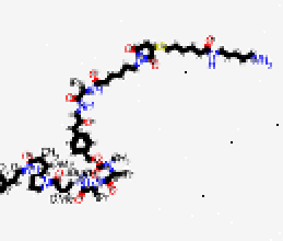 CC[C@H](C)[C@@H]([C@@H](CC(=O)N1CCC[C@H]1[C@H](OC)[C@@H](C)C(=O)N[C@@H](Cc1ccccc1)C(=O)O)OC)N(C)C(=O)C(NC(=O)C(C(C)C)N(C)C(=O)OCc1ccc(CC(=O)CNC(=O)C(NC(=O)CCCCCN2C(=O)CC(SCCCCCC(=O)NCCCCCN)C2=O)C(C)C)cc1)C(C)C